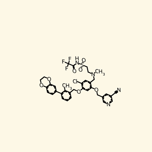 Cc1c(COc2cc(OCc3cncc(C#N)c3)c(CN(C)CCS(=O)(=O)NC(=O)C(F)(F)F)cc2Cl)cccc1-c1ccc2c(c1)OCCO2